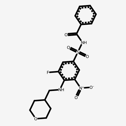 O=C(NS(=O)(=O)c1cc(F)c(NCC2CCOCC2)c([N+](=O)[O-])c1)c1ccccc1